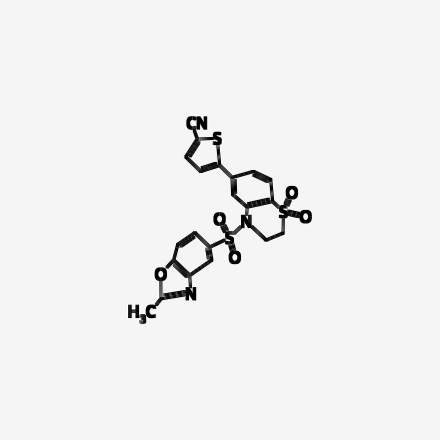 Cc1nc2cc(S(=O)(=O)N3CCS(=O)(=O)c4ccc(-c5ccc(C#N)s5)cc43)ccc2o1